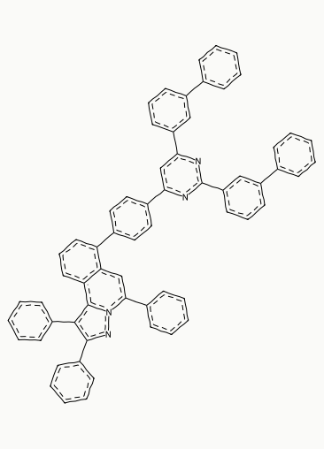 c1ccc(-c2cccc(-c3cc(-c4ccc(-c5cccc6c5cc(-c5ccccc5)n5nc(-c7ccccc7)c(-c7ccccc7)c65)cc4)nc(-c4cccc(-c5ccccc5)c4)n3)c2)cc1